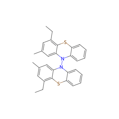 CCc1cc(C)cc2c1Sc1ccccc1N2N1c2ccccc2Sc2c(CC)cc(C)cc21